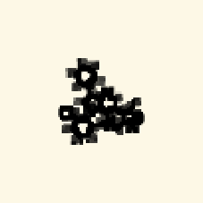 Cc1noc(C)c1-c1cnc2c(-c3ccccc3)cn(-c3c(Cl)cccc3C#N)c2c1